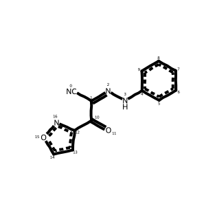 N#CC(=NNc1ccccc1)C(=O)c1ccon1